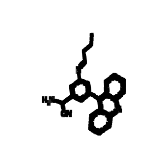 CCCC=Nc1cc(-c2c3ccccc3nc3ccccc23)cc(C(N)O)c1